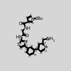 CC(C)(C)n1ccc(C(=O)NCC(=O)Nc2nc(-c3cccc(-c4ccnc(CN)c4)c3)cs2)c1